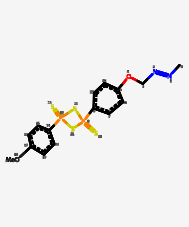 CN=NCOc1ccc(P2(=S)SP(=S)(c3ccc(OC)cc3)S2)cc1